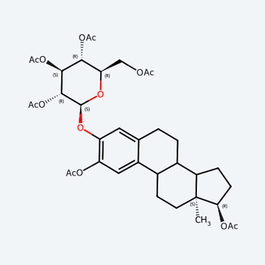 CC(=O)OC[C@H]1O[C@@H](Oc2cc3c(cc2OC(C)=O)C2CC[C@@]4(C)C(CC[C@H]4OC(C)=O)C2CC3)[C@H](OC(C)=O)[C@@H](OC(C)=O)[C@@H]1OC(C)=O